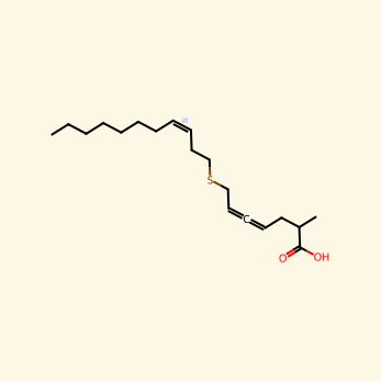 CCCCCCC/C=C\CCSCC=C=CCC(C)C(=O)O